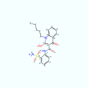 CCCCCn1c(O)c(C(=O)Nc2ccccc2S(N)(=O)=O)c(=O)c2ccccc21